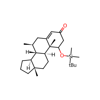 C[C@H]1CC2=CC(=O)CC(O[Si](C)(C)C(C)(C)C)[C@]2(C)[C@H]2CC[C@]3(C)CCC[C@H]3[C@H]12